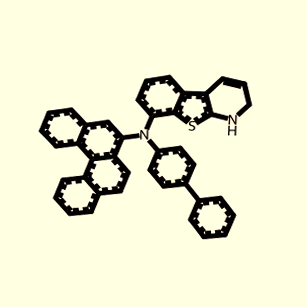 C1=Cc2c(sc3c(N(c4ccc(-c5ccccc5)cc4)c4cc5ccccc5c5c4ccc4ccccc45)cccc23)NC1